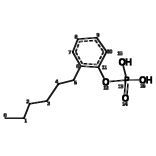 CCCCCCc1ccccc1OP(=O)(O)O